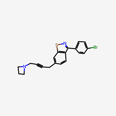 Brc1ccc(-c2nsc3cc(CC#CCN4CCC4)ccc23)cc1